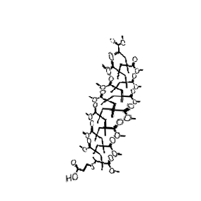 COC(=O)C(C)CC(C)(CC(C)(CC(C)(CC(C)(CC(C)(CC(C)(CC(C)(CC(C)(CC(C)(CC(C)(CC(C)(CC(C)(CC(C)(C(=O)OC)C(C)SCCC(=O)O)C(=O)OC)C(=O)OC)C(=O)OC)C(=O)OC)C(=O)OC)C(=O)OC)C(=O)OC)C(=O)OC)C(=O)OC)C(=O)OC)C(=O)OC)C(=O)OC